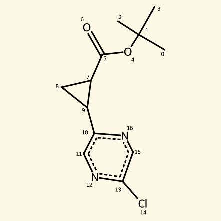 CC(C)(C)OC(=O)C1CC1c1cnc(Cl)cn1